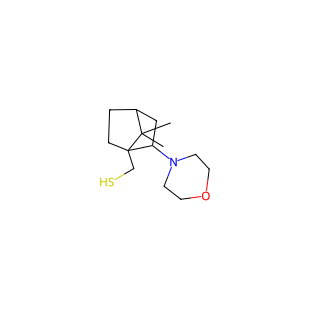 CC1(C)C2CCC1(CS)C(N1CCOCC1)C2